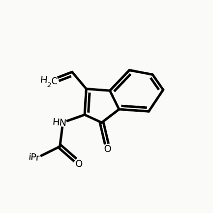 C=CC1=C(NC(=O)C(C)C)C(=O)c2ccccc21